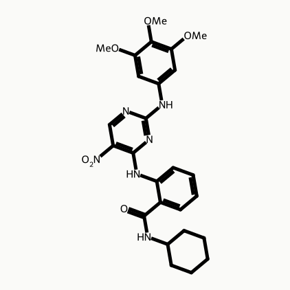 COc1cc(Nc2ncc([N+](=O)[O-])c(Nc3ccccc3C(=O)NC3CCCCC3)n2)cc(OC)c1OC